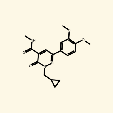 CNC(=O)c1cc(-c2ccc(OC)c(OC)c2)nn(CC2CC2)c1=O